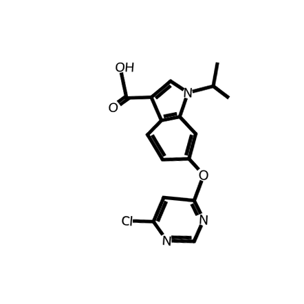 CC(C)n1cc(C(=O)O)c2ccc(Oc3cc(Cl)ncn3)cc21